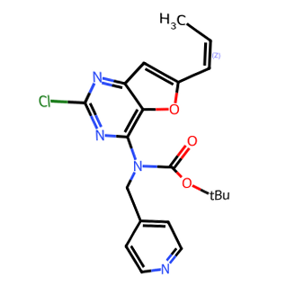 C/C=C\c1cc2nc(Cl)nc(N(Cc3ccncc3)C(=O)OC(C)(C)C)c2o1